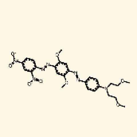 COCCN(CCOC)c1ccc(N=Nc2cc(OC)c(N=Nc3ccc([N+](=O)[O-])cc3[N+](=O)[O-])cc2OC)cc1